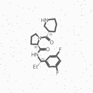 CC[C@H](NC(=O)[C@H]1CCCN1C(=O)[C@H]1CCCNC1)c1cc(F)cc(F)c1